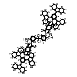 CC(C)(c1ccc(O)c(-n2c(=O)c3cc4c(=O)n(-c5c(C6C7CCCCC7C7CCCCC76)cc(C6C7CCCCC7C7CCCCC76)cc5C5C6CCCCC6C6CCCCC65)c(=O)c4cc3c2=O)c1)c1ccc(O)c(-n2c(=O)c3cc4c(=O)n(-c5c(C6C7CCCCC7C7CCCCC76)cc(C6C7CCCCC7C7CCCCC76)cc5C5C6CCCCC6C6CCCCC65)c(=O)c4cc3c2=O)c1